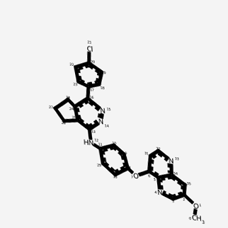 COc1cnc2c(Oc3ccc(Nc4nnc(-c5ccc(Cl)cc5)c5c4CCC5)cc3)ccnc2c1